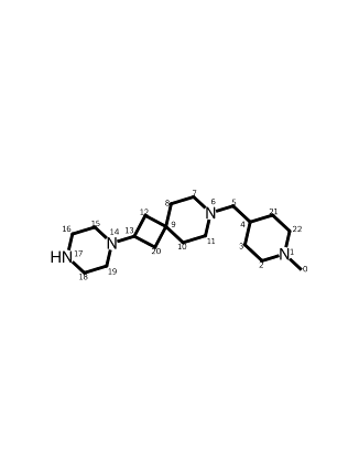 CN1CCC(CN2CCC3(CC2)CC(N2CCNCC2)C3)CC1